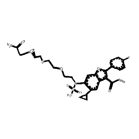 CNC(=O)c1c(-c2ccc(F)cc2)oc2cc(N(CCOCCOCCOCC(N)=O)S(C)(=O)=O)c(C3CC3)cc12